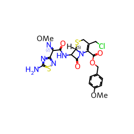 CO/N=C(\C(=O)NC1C(=O)N2C(C(=O)OCc3ccc(OC)cc3)=C(CCl)CS[C@@H]12)c1nsc(N)n1